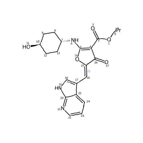 CC(C)OC(=O)C1=C(N[C@H]2CC[C@H](O)CC2)O/C(=C\c2c[nH]c3ncccc23)C1=O